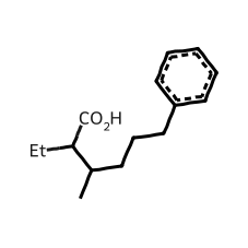 CCC(C(=O)O)C(C)CCCc1ccccc1